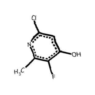 Cc1nc(Cl)cc(O)c1F